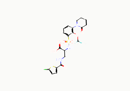 O=C(NCC(NS(=O)(=O)c1cccc(N2CCCCC2=O)c1OC(F)F)C(=O)O)c1ccc(Cl)s1